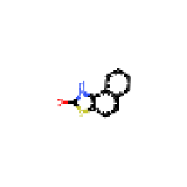 O=c1[nH]c2c(ccc3ccccc32)s1